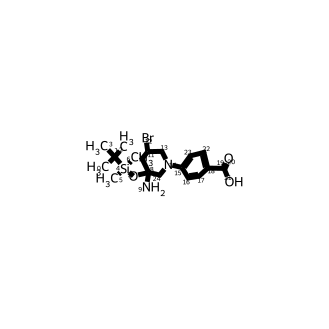 CC(C)(C)[Si](C)(C)OC1(N)CC(Br)CN(c2ccc(C(=O)O)cc2)C1